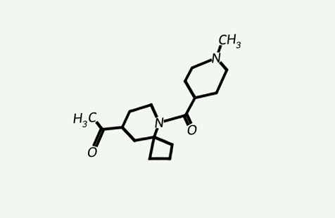 CC(=O)C1CCN(C(=O)C2CCN(C)CC2)C2(CCC2)C1